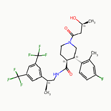 Cc1cc(F)ccc1[C@H]1CN(C(=O)C[C@H](C)O)CC[C@@H]1C(=O)NC[C@@H](C)c1cc(C(F)(F)F)cc(C(F)(F)F)c1